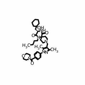 CCCCN1C(=O)[C@@H](CC2(O)CCCCC2)NC(=O)C12CCN(Cc1c(C)nn(-c3ccc(C(=O)N4CCOCC4)cc3)c1C)CC2